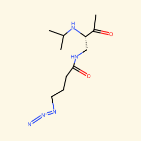 CC(=O)[C@H](CNC(=O)CCCN=[N+]=[N-])NC(C)C